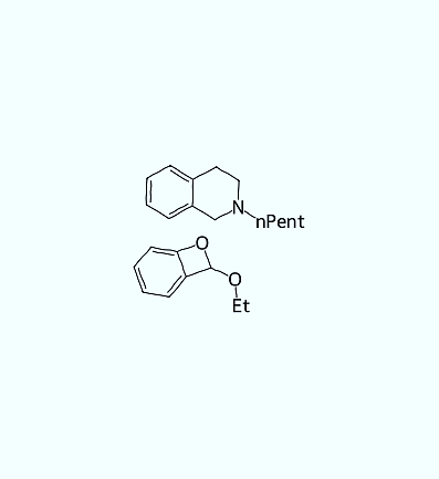 CCCCCN1CCc2ccccc2C1.CCOC1Oc2ccccc21